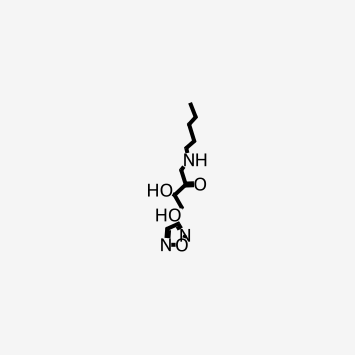 CCCCCNCC(=O)C(O)CO.c1cnon1